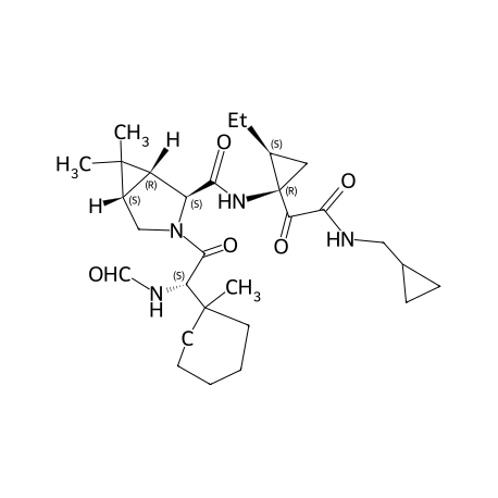 CC[C@H]1C[C@]1(NC(=O)[C@@H]1[C@@H]2[C@H](CN1C(=O)[C@@H](NC=O)C1(C)CCCCC1)C2(C)C)C(=O)C(=O)NCC1CC1